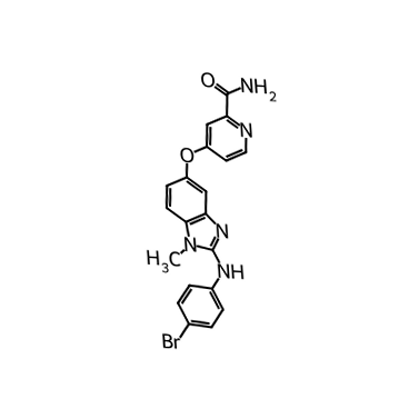 Cn1c(Nc2ccc(Br)cc2)nc2cc(Oc3ccnc(C(N)=O)c3)ccc21